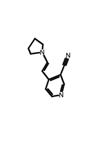 N#Cc1cnccc1C=CN1CCCC1